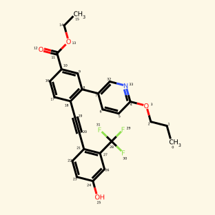 CCCOc1ccc(-c2cc(C(=O)OCC)ccc2C#Cc2ccc(O)cc2C(F)(F)F)cn1